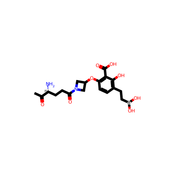 CC(=O)[C@H](N)CCC(=O)N1CC(Oc2ccc(CCB(O)O)c(O)c2C(=O)O)C1